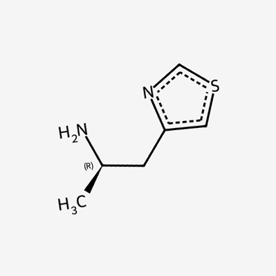 C[C@@H](N)Cc1cscn1